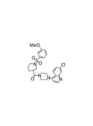 COc1cccc(S(=O)(=O)N2CCCC(C(=O)N3CCN(c4ccnc5cc(Cl)ccc45)CC3)C2)c1